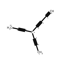 C#CC#CP(C#CC)C#CC